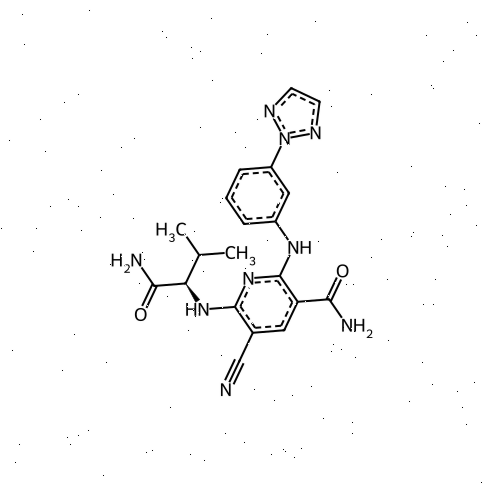 CC(C)[C@@H](Nc1nc(Nc2cccc(-n3nccn3)c2)c(C(N)=O)cc1C#N)C(N)=O